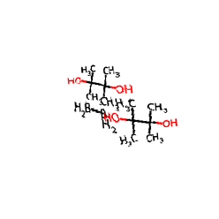 BB.CC(C)(O)C(C)(C)O.CC(C)(O)C(C)(C)O